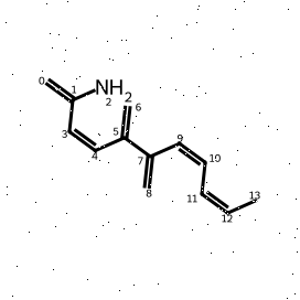 C=C(N)/C=C\C(=C)C(=C)/C=C\C=C/C